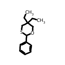 CCC1(CC)COC(c2ccccc2)SC1